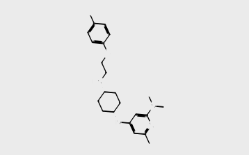 Cc1cc(N[C@H]2CC[C@@H](NCCOc3ccc(Cl)cc3)CC2)cc(N(C)C)n1